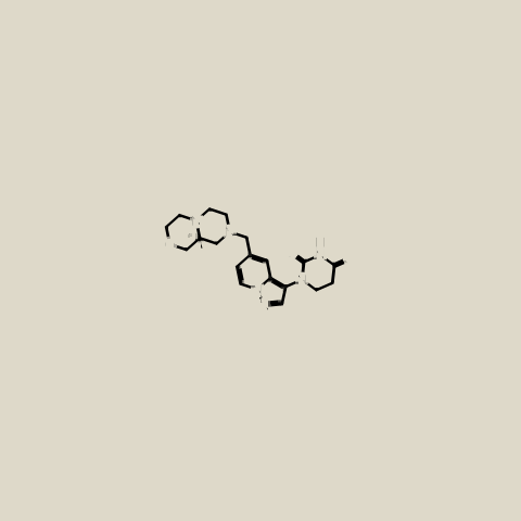 O=C1CCN(c2cnn3ccc(CN4CCN5CCOC[C@H]5C4)cc23)C(=O)N1